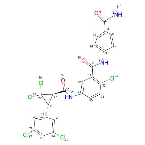 CNC(=O)c1ccc(NC(=O)c2cc(NC(=O)[C@H]3[C@H](c4cc(Cl)cc(Cl)c4)C3(Cl)Cl)ccc2Cl)cc1